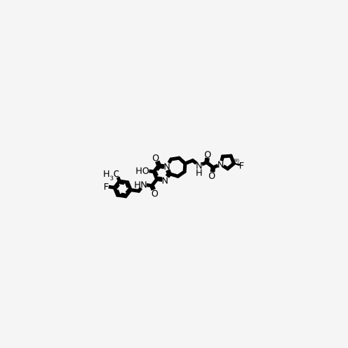 Cc1cc(CNC(=O)c2nc3n(c(=O)c2O)CCC(CNC(=O)C(=O)N2CC[C@@H](F)C2)CC3)ccc1F